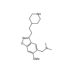 COc1cc2onc(CCC3CCNCC3)c2cc1CN(C)C